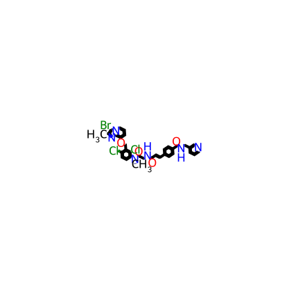 Cc1nc2c(OCc3c(Cl)ccc(N(C)C(=O)CNC(=O)/C=C/c4ccc(C(=O)NCc5cccnc5)cc4)c3Cl)cccn2c1Br